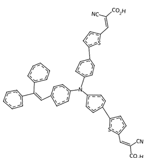 N#C/C(=C\c1ccc(-c2ccc(N(c3ccc(C=C(c4ccccc4)c4ccccc4)cc3)c3ccc(-c4ccc(/C=C(\C#N)C(=O)O)s4)cc3)cc2)s1)C(=O)O